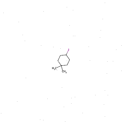 CC1(C)CCC(I)CC1